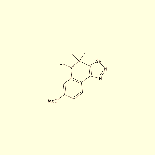 COc1ccc2c(c1)[S+]([O-])C(C)(C)c1[se]nnc1-2